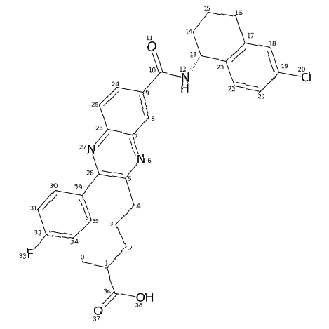 CC(CCCc1nc2cc(C(=O)N[C@@H]3CCCc4cc(Cl)ccc43)ccc2nc1-c1ccc(F)cc1)C(=O)O